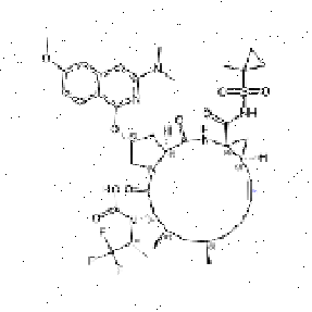 COc1ccc2c(O[C@@H]3C[C@H]4C(=O)N[C@]5(C(=O)NS(=O)(=O)C6(C)CC6)C[C@H]5/C=C\CC[C@@H](C)C[C@@H](C)[C@H](N(C(=O)O)[C@H](C)C(F)(F)F)C(=O)N4C3)nc(N(C)C)cc2c1